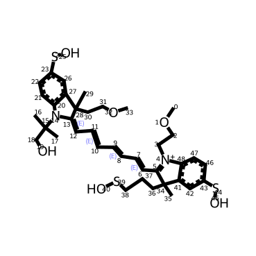 COCC[N+]1=C(/C=C/C=C/C=C/C=C2/N(C(C)(C)CO)c3ccc(SO)cc3C2(C)CCOC)C(C)(CCCSO)c2cc(SO)ccc21